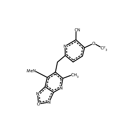 CNc1c(Cc2ccc(OC(F)(F)F)c(C#N)n2)c(C)nc2nonc12